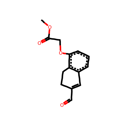 COC(=O)COc1cccc2c1CCC(C=O)=C2